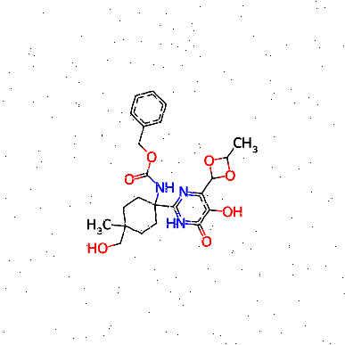 CC1OC(c2nc(C3(NC(=O)OCc4ccccc4)CCC(C)(CO)CC3)[nH]c(=O)c2O)O1